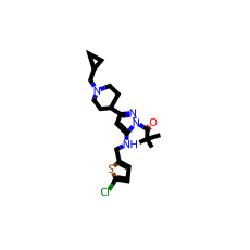 CC(C)(C)C(=O)n1nc(C2CCN(CC3CC3)CC2)cc1NCc1ccc(Cl)s1